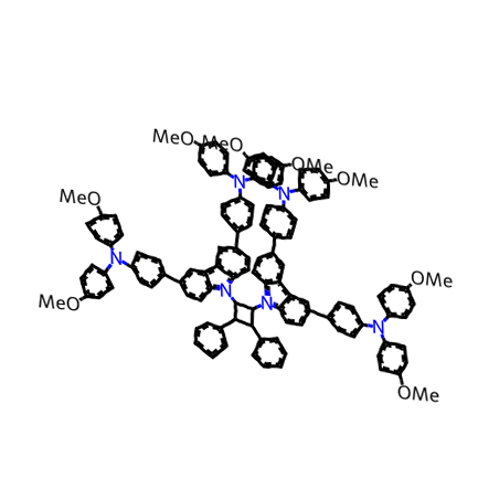 COc1ccc(N(c2ccc(OC)cc2)c2ccc(-c3ccc4c(c3)c3cc(-c5ccc(N(c6ccc(OC)cc6)c6ccc(OC)cc6)cc5)ccc3n4C3C(c4ccccc4)C(c4ccccc4)C3n3c4ccc(-c5ccc(N(c6ccc(OC)cc6)c6ccc(OC)cc6)cc5)cc4c4cc(-c5ccc(N(c6ccc(OC)cc6)c6ccc(OC)cc6)cc5)ccc43)cc2)cc1